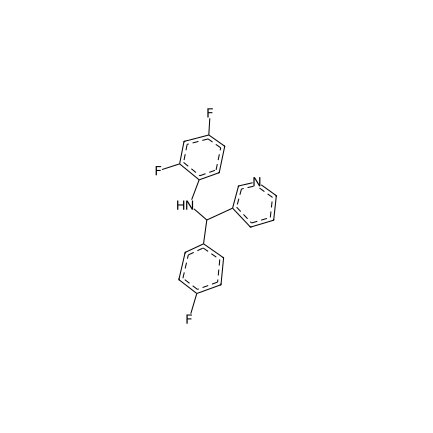 Fc1ccc(C(Nc2ccc(F)cc2F)c2cccnc2)cc1